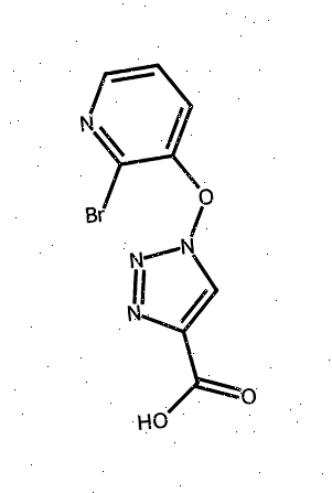 O=C(O)c1cn(Oc2cccnc2Br)nn1